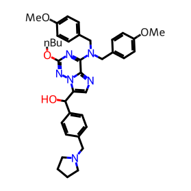 CCCCOc1nc(N(Cc2ccc(OC)cc2)Cc2ccc(OC)cc2)c2ncc(C(O)c3ccc(CN4CCCC4)cc3)n2n1